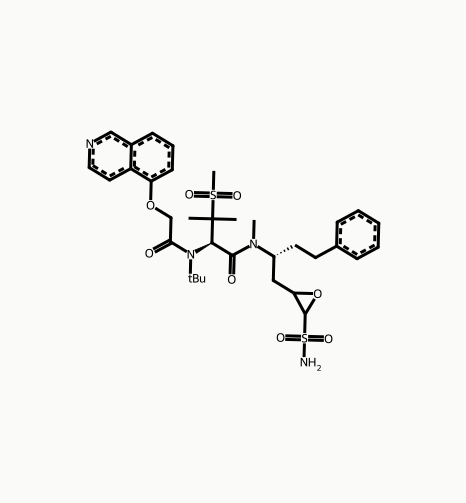 CN(C(=O)[C@@H](N(C(=O)COc1cccc2cnccc12)C(C)(C)C)C(C)(C)S(C)(=O)=O)[C@H](CCc1ccccc1)CC1OC1S(N)(=O)=O